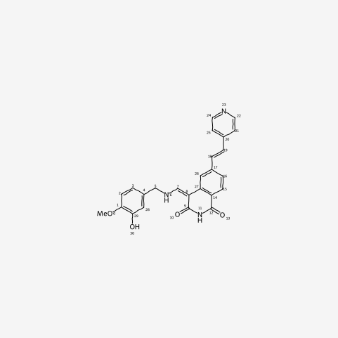 COc1ccc(CNC=C2C(=O)NC(=O)c3ccc(C=Cc4ccncc4)cc32)cc1O